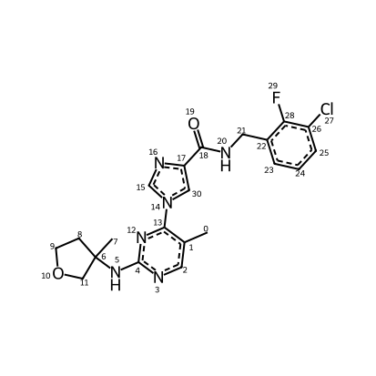 Cc1cnc(NC2(C)CCOC2)nc1-n1cnc(C(=O)NCc2cccc(Cl)c2F)c1